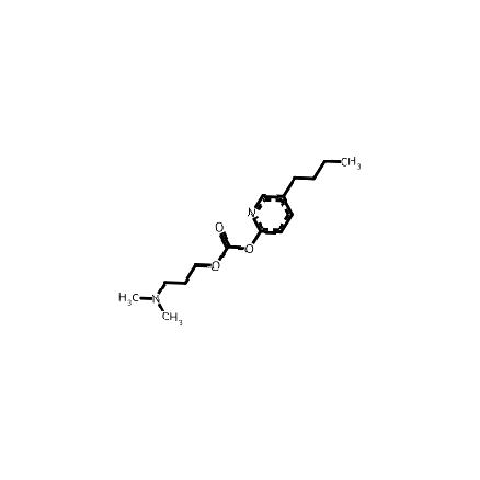 CCCCc1ccc(OC(=O)OCCCN(C)C)nc1